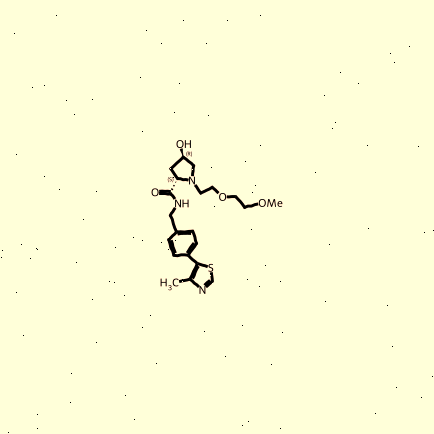 COCCOCCN1C[C@H](O)C[C@H]1C(=O)NCc1ccc(-c2scnc2C)cc1